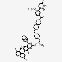 C#Cc1c(F)ccc2cc(O)cc(-c3ccc4c(N5CC6CCC(C5)N6)nc(OC[C@H](C)CN5CCN(CC6CCC7(CC6)CCN(C(=O)c6ccc(OC)c(N8CCC(=O)NC8=O)c6)CC7)CC5)nc4c3F)c12